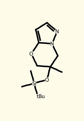 CC1(O[Si](C)(C)C(C)(C)C)COc2ccnn2C1